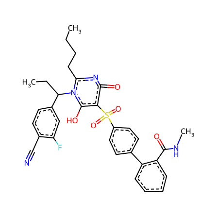 CCCCc1nc(=O)c(S(=O)(=O)c2ccc(-c3ccccc3C(=O)NC)cc2)c(O)n1C(CC)c1ccc(C#N)c(F)c1